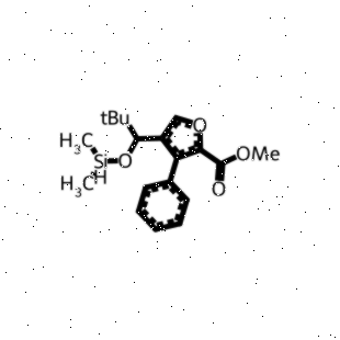 COC(=O)c1occ(C(O[SiH](C)C)C(C)(C)C)c1-c1ccccc1